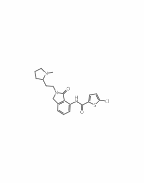 CN1CCCC1CCN1Cc2cccc(NC(=O)c3ccc(Cl)s3)c2C1=O